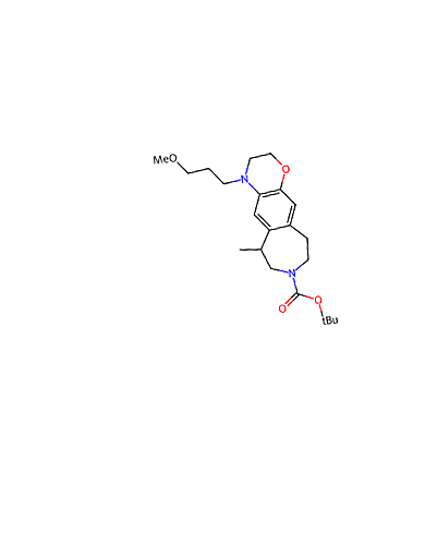 COCCCN1CCOc2cc3c(cc21)C(C)CN(C(=O)OC(C)(C)C)CC3